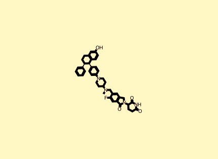 CN(Cc1cc2c(cc1F)C(=O)N(C1CCC(=O)NC1=O)C2)C1CCN(c2ccc([C@@H]3c4ccc(O)cc4CC[C@@H]3c3ccccc3)cc2)CC1